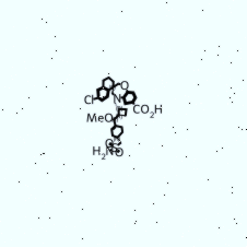 CO[C@@H](C1=CC[C@H](CS(N)(=O)=O)CC1)[C@@H]1CC[C@H]1CN1C[C@@]2(CCCc3cc(Cl)ccc32)COc2ccc(C(=O)O)cc21